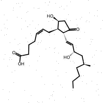 CCCC[C@H](C)C[C@H](O)/C=C/[C@H]1C(=O)C[C@H](O)[C@@H]1C/C=C\CCCC(=O)O